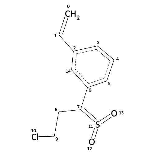 C=Cc1cccc(C(CCCl)=S(=O)=O)c1